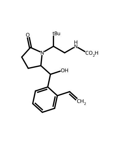 C=Cc1ccccc1C(O)C1CCC(=O)N1C(CNC(=O)O)C(C)(C)C